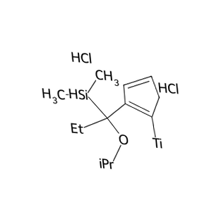 CCC(OC(C)C)(C1=[C]([Ti])CC=C1)[SiH](C)C.Cl.Cl